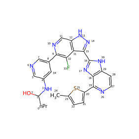 CCCC(O)Nc1cncc(-c2ncc3[nH]nc(-c4nc5c(-c6ccc(C)s6)nccc5[nH]4)c3c2F)c1